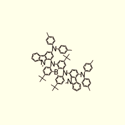 Cc1ccc(N(c2ccc(C)cc2)c2cc(N3c4ccc(C(C)(C)C)cc4B4c5cc(C(C)(C)C)ccc5N(c5ccc(N(c6ccc(C)cc6)c6ccc(C)cc6)c6c7ccccc7n(C)c56)c5cc(C(C)(C)C)cc3c54)c3c(c2)c2ccccc2n3C)cc1